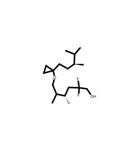 CC(C)[C@@H](C)CCC1(OCC(C)[C@@H](C)CC(F)(F)CO)CC1